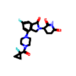 O=C1CCC(N2Cc3c(cc(F)cc3N3CCN(C(=O)C4(F)CC4)CC3)C2=O)C(=O)N1